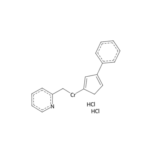 C1=[C]([Cr][CH2]c2ccccn2)CC=C1c1ccccc1.Cl.Cl